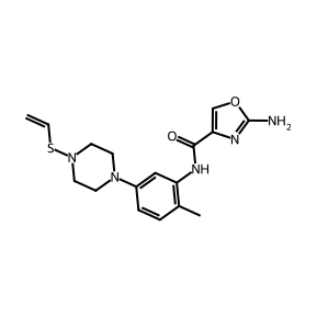 C=CSN1CCN(c2ccc(C)c(NC(=O)c3coc(N)n3)c2)CC1